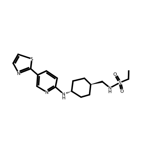 CCS(=O)(=O)NC[C@H]1CC[C@H](Nc2ccc(-c3nccs3)cn2)CC1